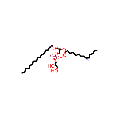 CCCC/C=C\CCCCCCCC(=O)O[C@H](CO/C=C\CCCCCCCCCCCCCC)COP(=O)(O)OC[C@@H](O)CO